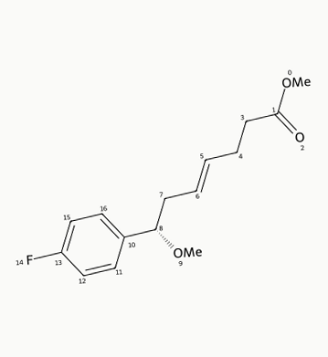 COC(=O)CCC=CC[C@H](OC)c1ccc(F)cc1